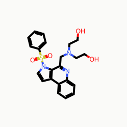 O=S(=O)(c1ccccc1)n1ccc2c3ccccc3nc(CN(CCO)CCO)c21